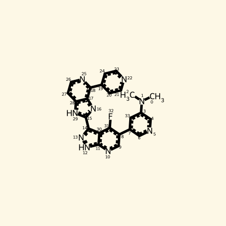 CN(C)c1cncc(-c2cnc3[nH]nc(-c4nc5c(-c6ccncc6)nccc5[nH]4)c3c2F)c1